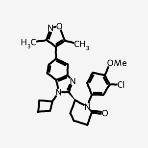 COc1ccc(N2C(=O)CCC[C@H]2c2nc3cc(-c4c(C)noc4C)ccc3n2C2CCC2)cc1Cl